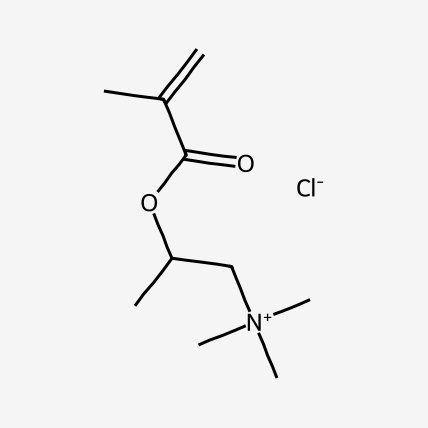 C=C(C)C(=O)OC(C)C[N+](C)(C)C.[Cl-]